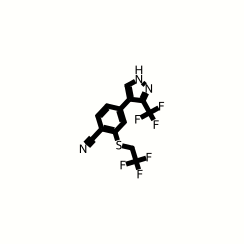 N#Cc1ccc(-c2c[nH]nc2C(F)(F)F)cc1SCC(F)(F)F